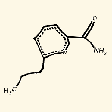 CCCc1cccc(C(N)=O)n1